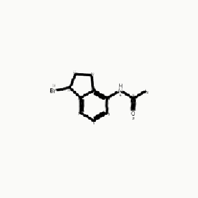 CC(=O)Nc1cccc2c1CCC2Br